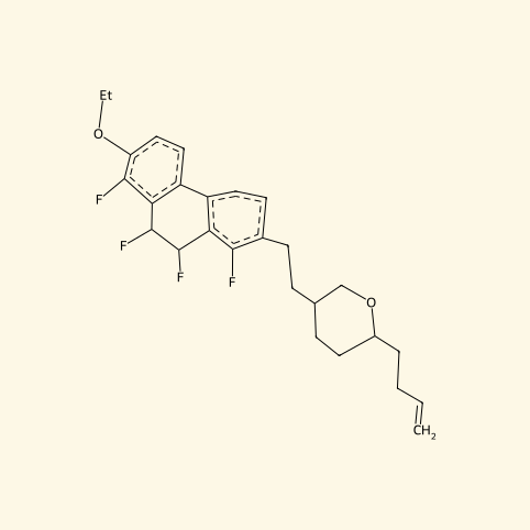 C=CCCC1CCC(CCc2ccc3c(c2F)C(F)C(F)c2c-3ccc(OCC)c2F)CO1